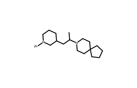 CC(C)N1CCCC(CC(C)N2CCC3(CCCC3)CC2)C1